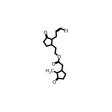 CC/C=C\CC1C(=O)CCC1CCOC(=O)CC1CCC(=O)C1C